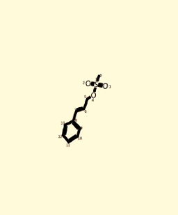 CS(=O)(=O)OCC=Cc1ccccc1